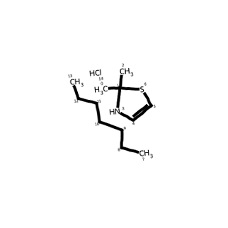 CC1(C)NC=CS1.CCCCCCC.Cl